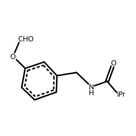 CC(C)C(=O)NCc1cccc(OC=O)c1